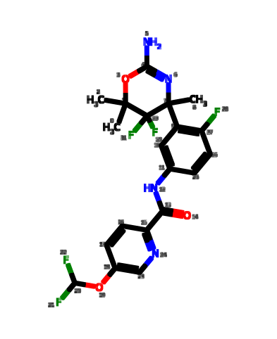 CC1(C)OC(N)=NC(C)(c2cc(NC(=O)c3ccc(OC(F)F)cn3)ccc2F)C1(F)F